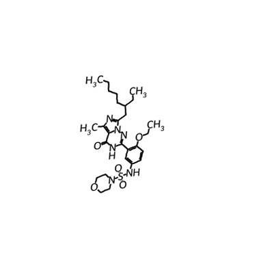 CCCCCC(CC)Cc1nc(C)c2c(=O)[nH]c(-c3cc(NS(=O)(=O)N4CCOCC4)ccc3OCC)nn12